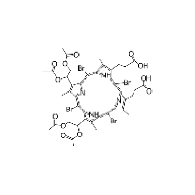 CC(=O)OCC(OC(C)=O)C1=C(C)c2nc1c(Br)c1[nH]c(c(Br)c3nc(c(Br)c4[nH]c(c2Br)c(C(COC(C)=O)OC(C)=O)c4C)C(C)=C3CCC(=O)O)c(CCC(=O)O)c1C